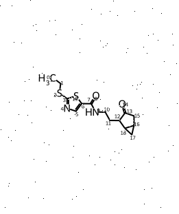 CCSc1ncc(C(=O)NCCC2C(=O)CC3CC32)s1